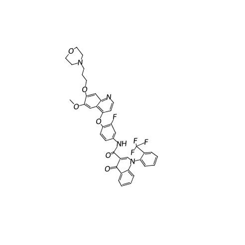 COc1cc2c(Oc3ccc(NC(=O)c4cn(-c5ccccc5C(F)(F)F)c5ccccc5c4=O)cc3F)ccnc2cc1OCCCN1CCOCC1